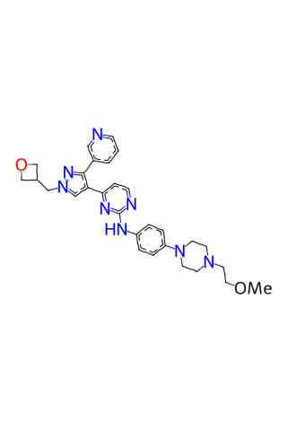 COCCN1CCN(c2ccc(Nc3nccc(-c4cn(CC5COC5)nc4-c4cccnc4)n3)cc2)CC1